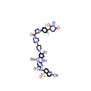 CCc1cc(Nc2ncc(Br)c(Nc3ccc4nc(C#N)ccc4c3P(C)(C)=O)n2)c(OC)cc1N1CCC(N2CCN(C(=O)C3CCN(c4cc(F)c(C5CCC(=O)NC5=O)c(F)c4)C3)CC2)CC1